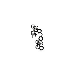 O=c1cc(C(F)(F)F)c2cc(Cc3ccc(S(=O)(=O)N4CCCc5ccccc54)cc3)ccc2o1